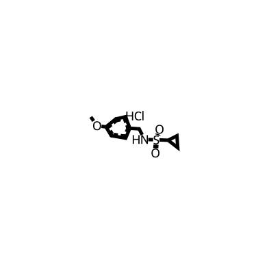 COc1ccc(CNS(=O)(=O)C2CC2)cc1.Cl